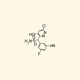 N#Cc1cc(F)cc(C(c2nnc(Cl)cc2O)S(N)(=O)=O)c1